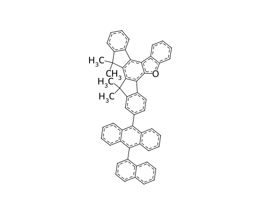 CC1(C)c2cc(-c3c4ccccc4c(-c4cccc5ccccc45)c4ccccc34)ccc2-c2c1c1c(c3c2oc2ccccc23)-c2ccccc2C1(C)C